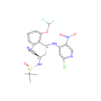 CC(C)(C)[S@@+]([O-])N[C@@H](C#N)C[C@@H](Nc1cc(Cl)ncc1[N+](=O)[O-])c1c(Br)cccc1OC(F)F